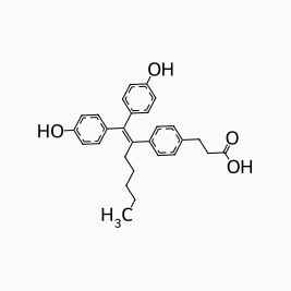 CCCCCC(=C(c1ccc(O)cc1)c1ccc(O)cc1)c1ccc(CCC(=O)O)cc1